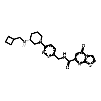 O=C(NCc1ccc(N2CCC[C@@H](NCC3CCC3)C2)nn1)c1cc(=O)n2ccsc2n1